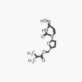 CC(C)C(=O)OC[C@@H]1CC[C@H](n2cc/c(=N/O)[nH]c2=O)O1